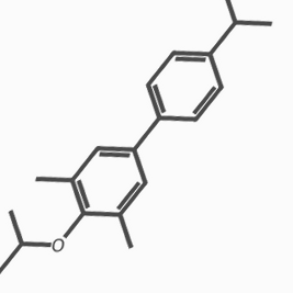 Cc1cc(-c2ccc(C(C)C)cc2)cc(C)c1OC(C)C